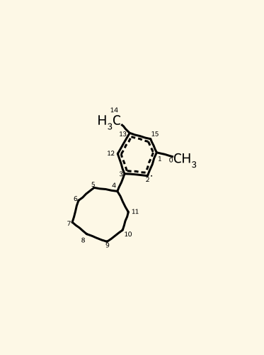 Cc1[c]c(C2CCCCCCC2)cc(C)c1